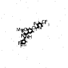 COc1cc(OCc2ncc(C(F)(F)F)cc2F)ccc1-c1[nH]c(C2CCC(F)(F)C2)nc1F